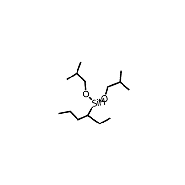 CCCC(CC)[SiH](OCC(C)C)OCC(C)C